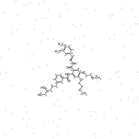 COCCOc1cc(NC(=O)c2cccc(CSCC(O)CO)c2)c(C(=O)NN=Cc2ccc(C)c(C)c2)cc1OCCOC